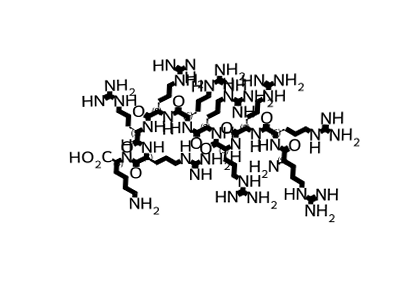 N=C(N)NCCC[C@H](NC(=O)[C@H](CCCNC(=N)N)NC(=O)[C@H](CCCNC(=N)N)NC(=O)[C@H](CCCNC(=N)N)NC(=O)[C@H](CCCNC(=N)N)NC(=O)[C@H](CCCNC(=N)N)NC(=O)[C@H](CCCNC(=N)N)NC(=O)[C@H](CCCNC(=N)N)NC(=O)[C@@H](N)CCCNC(=N)N)C(=O)N[C@@H](CCCCN)C(=O)O